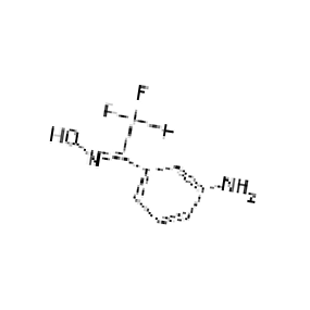 Nc1cccc(C(=NO)C(F)(F)F)c1